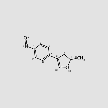 CC1CC(c2ccc(N=O)cc2)=NO1